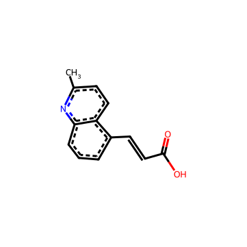 Cc1ccc2c(/C=C/C(=O)O)cccc2n1